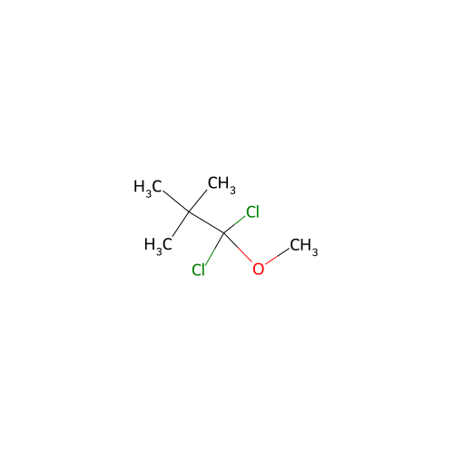 COC(Cl)(Cl)C(C)(C)C